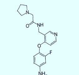 Nc1ccc(Oc2ccncc2CNC(=O)CN2CCCC2)c(F)c1